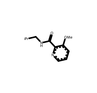 COc1cccnc1C(=O)NCC(C)C